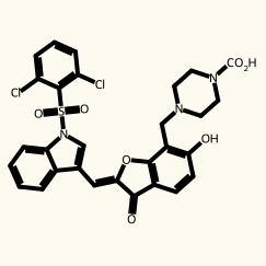 O=C1/C(=C/c2cn(S(=O)(=O)c3c(Cl)cccc3Cl)c3ccccc23)Oc2c1ccc(O)c2CN1CCN(C(=O)O)CC1